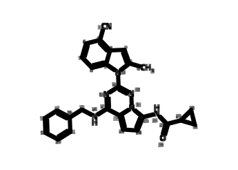 Cc1cc2c(C#N)cccc2n1-c1nc(NCc2ccccc2)c2ccc(NC(=O)C3CC3)n2n1